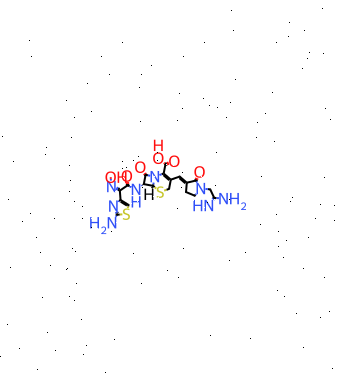 N=C(N)CN1CC/C(=C\C2=C(C(=O)O)N3C(=O)[C@@H](NC(=O)/C(=N\O)c4csc(N)n4)[C@H]3SC2)C1=O